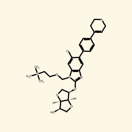 C[Si](C)(C)CCOCn1c(O[C@@H]2CO[C@H]3[C@@H]2OC[C@H]3O)nc2cc(-c3ccc(C4=CCSCC4)cc3)c(Cl)cc21